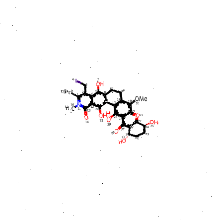 CCCc1c(CI)c2c(O)c3c(c(O)c2c(=O)n1C)-c1c(c(OC)c2oc4c(c(=O)c2c1O)[C@@H](O)CC[C@@H]4O)CC3